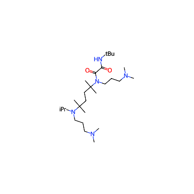 CC(C)N(CCCN(C)C)C(C)(C)CCC(C)(C)N(CCCN(C)C)C(=O)C(=O)NC(C)(C)C